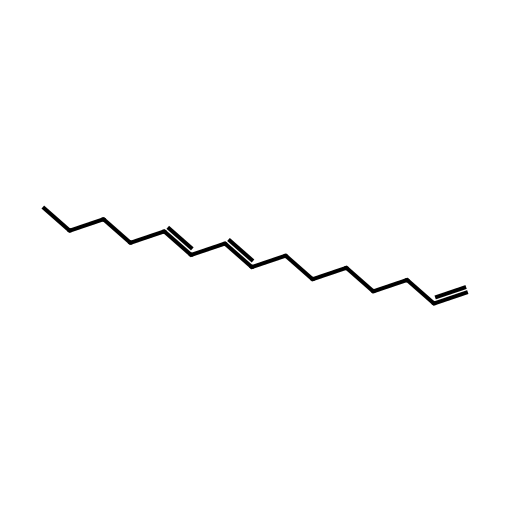 C=CCCCCCC=CC=CCCCC